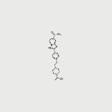 C=C(O)N1CCC(COc2ccc(-c3nc4cc(C(N)=O)ccc4[nH]3)cc2)CC1